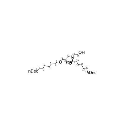 CCCCCCCCCCCCCCCCCOCC(O)CN(CCO)C(=O)CCCCCCCCCCCCCCC